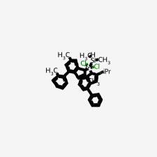 CC1=Cc2c(-c3ccccc3C)cc(C)cc2[CH]1[Zr]([Cl])([Cl])([CH]1C(C(C)C)=Cc2c(-c3ccccc3)cccc21)[SiH](C)C